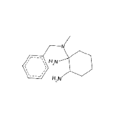 CN(Cc1ccccc1)C1(N)CCCCC1N